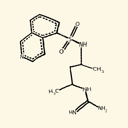 CC(CC(C)NS(=O)(=O)c1cccc2cnccc12)NC(=N)N